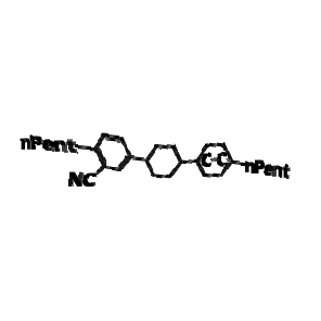 CCCCCc1ccc(C2CCC(C34CCC(CCCCC)(CC3)CC4)CC2)cc1C#N